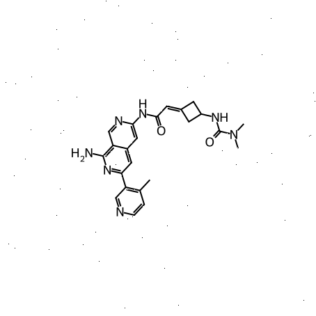 Cc1ccncc1-c1cc2cc(NC(=O)C=C3CC(NC(=O)N(C)C)C3)ncc2c(N)n1